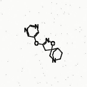 c1ncc(OC2=NOC3(C2)CN2CCC3CC2)cn1